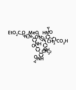 CCOC(=O)CC(=O)CN1CCN(Cc2ccc(NC(=O)c3ccc(-c4cc(NC(=O)C5CC5)ccc4C)cc3)cc2)CC1.COCC(=O)N1CCN(Cc2ccc(N)cc2)CC1.Cc1ccc(NC(=O)C2CC2)cc1-c1ccc(C(=O)O)cc1